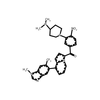 CN(C)C1CCN(c2cc(C(=O)c3ccc4c(-c5cc6ncn(C)c6cc5C(F)(F)F)cccn34)ccc2[N+](=O)[O-])CC1